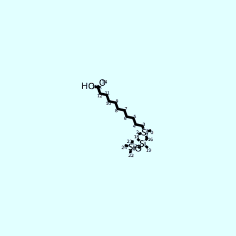 C[Si](C)(CCCCCCCCCCC(=O)O)C[Si](C)(C)O[Si](C)(C)C